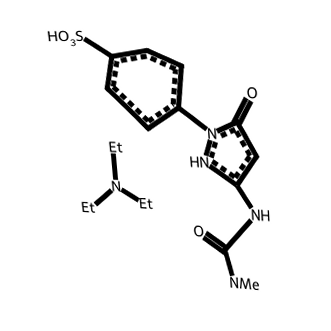 CCN(CC)CC.CNC(=O)Nc1cc(=O)n(-c2ccc(S(=O)(=O)O)cc2)[nH]1